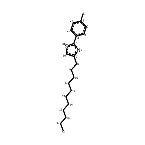 [CH2]c1ccc(-c2nc(CCCCCCCCCCC)cs2)cc1